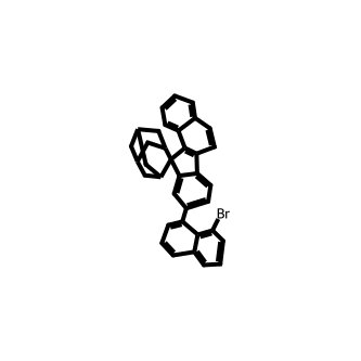 Brc1cccc2cccc(-c3ccc4c(c3)C3(c5c-4ccc4ccccc54)C4CC5CC(C4)CC3C5)c12